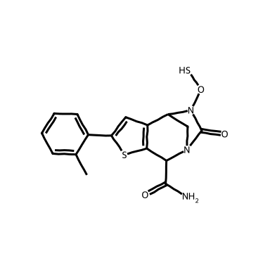 Cc1ccccc1-c1cc2c(s1)C(C(N)=O)N1CC2N(OS)C1=O